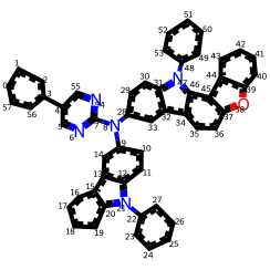 c1ccc(-c2cnc(N(c3ccc4c(c3)c3ccccc3n4-c3ccccc3)c3ccc4c(c3)c3ccc5oc6ccccc6c5c3n4-c3ccccc3)nc2)cc1